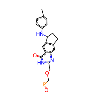 Cc1ccc(NC2CCc3cc4nc(COCP=O)[nH]c(=O)c4cc32)cc1